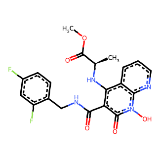 COC(=O)[C@@H](C)Nc1c(C(=O)NCc2ccc(F)cc2F)c(=O)n(O)c2ncccc12